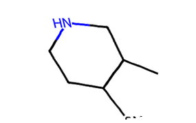 CSC1CCNCC1C